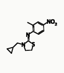 Cc1cc([N+](=O)[O-])ccc1N=C1SCCN1CC1CC1